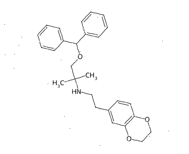 CC(C)(COC(c1ccccc1)c1ccccc1)NCCc1ccc2c(c1)OCCO2